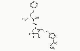 COC(=O)c1ccc(CCCN2C(=O)C(F)(F)CC2C=C[C@@H](O)[C@H](C)CCc2ccccc2)s1